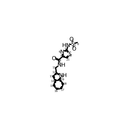 CS(=O)(=O)Nc1nc(C(=O)NCc2cc3ccccc3[nH]2)cs1